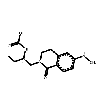 CNc1ccc2c(c1)CCN(C[C@@H](CF)NC(=O)O)C2=O